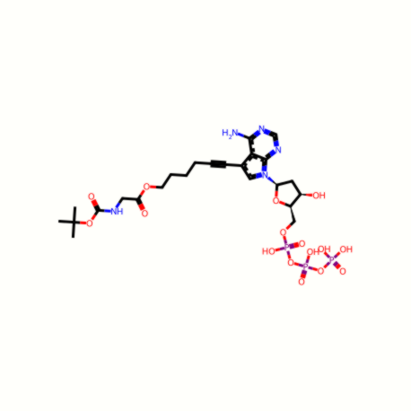 CC(C)(C)OC(=O)NCC(=O)OCCCCC#Cc1cn([C@H]2C[C@@H](O)[C@@H](COP(=O)(O)OP(=O)(O)OP(=O)(O)O)O2)c2ncnc(N)c12